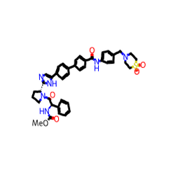 COC(=O)N[C@@H](C(=O)N1CCC[C@@H]1c1ncc(-c2ccc(-c3ccc(C(=O)Nc4ccc(CN5CCS(=O)(=O)CC5)cc4)cc3)cc2)[nH]1)c1ccccc1